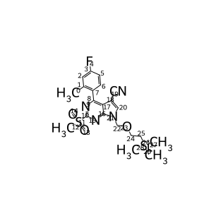 Cc1cc(F)ccc1-c1nc(S(C)(=O)=O)nc2c1c(C#N)cn2COCC[Si](C)(C)C